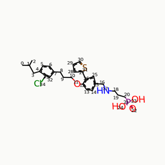 CC(C)Cc1ccc(CCCOc2ccc(CNCCCP(=O)(O)O)cc2-c2cccs2)cc1Cl